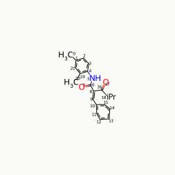 Cc1ccc(NC(=O)C(=Cc2ccccc2)C(=O)C(C)C)c(C)c1